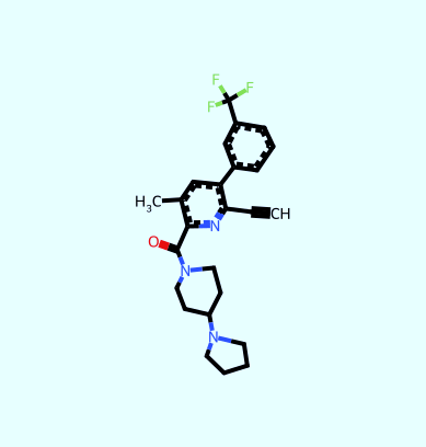 C#Cc1nc(C(=O)N2CCC(N3CCCC3)CC2)c(C)cc1-c1cccc(C(F)(F)F)c1